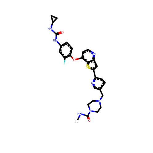 CCNC(=O)N1CCN(Cc2ccc(-c3cc4nccc(Oc5ccc(NC(=O)NC6CC6)cc5F)c4s3)nc2)CC1